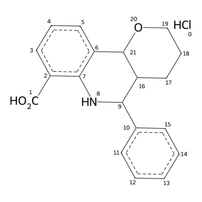 Cl.O=C(O)c1cccc2c1NC(c1ccccc1)C1CCCOC21